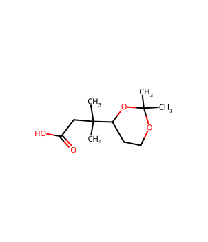 CC1(C)OCCC(C(C)(C)CC(=O)O)O1